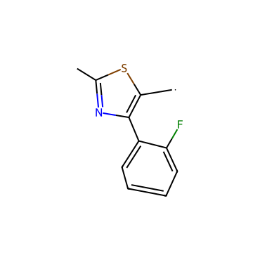 [CH2]c1sc(C)nc1-c1ccccc1F